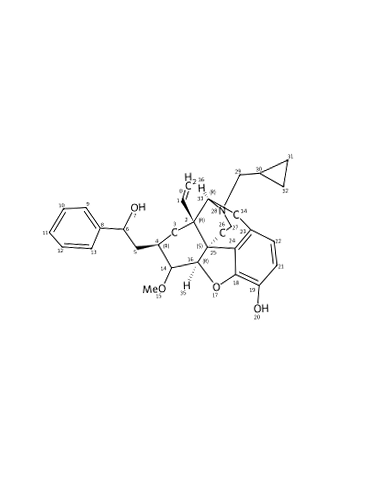 C=C[C@]12C[C@H](CC(O)c3ccccc3)C(OC)[C@@H]3Oc4c(O)ccc5c4[C@@]31CCN(CC1CC1)[C@@H]2C5